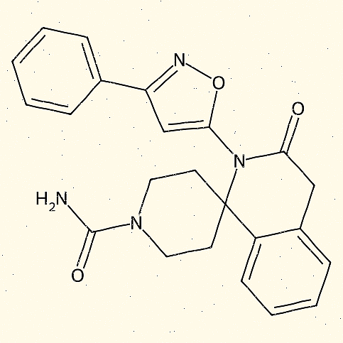 NC(=O)N1CCC2(CC1)c1ccccc1CC(=O)N2c1cc(-c2ccccc2)no1